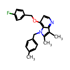 Cc1ccc(Cn2c(C)c(C)c3nccc(OCc4ccc(F)cc4)c32)cc1